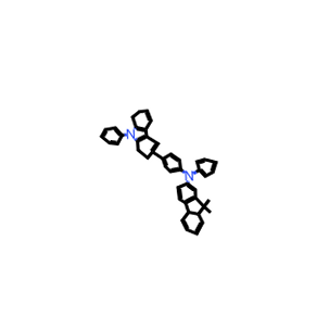 CC1(C)c2cc(N(c3ccccc3)c3ccc(C4=Cc5c6c(n(-c7ccccc7)c5CC4)CCC=C6)cc3)ccc2C2C=CC=CC21